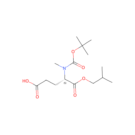 CC(C)COC(=O)[C@H](CCC(=O)O)N(C)C(=O)OC(C)(C)C